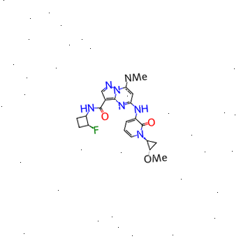 CNc1cc(Nc2cccn([C@H]3C[C@@H]3OC)c2=O)nc2c(C(=O)NC3CC[C@@H]3F)cnn12